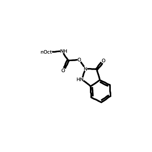 CCCCCCCCNC(=O)On1[nH]c2ccccc2c1=O